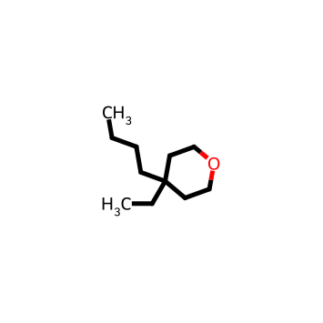 CCCCC1(CC)CCOCC1